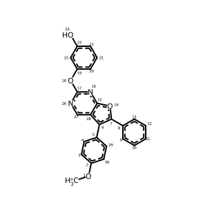 COc1ccc(-c2c(-c3ccccc3)oc3nc(Oc4cccc(O)c4)ncc23)cc1